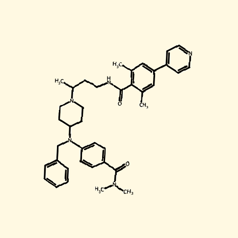 Cc1cc(-c2ccncc2)cc(C)c1C(=O)NCCC(C)N1CCC(N(Cc2ccccc2)c2ccc(C(=O)N(C)C)cc2)CC1